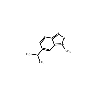 CC(C)c1ccc2no[n+](C)c2c1